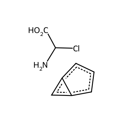 NC(Cl)C(=O)O.c1cc2cc-2c1